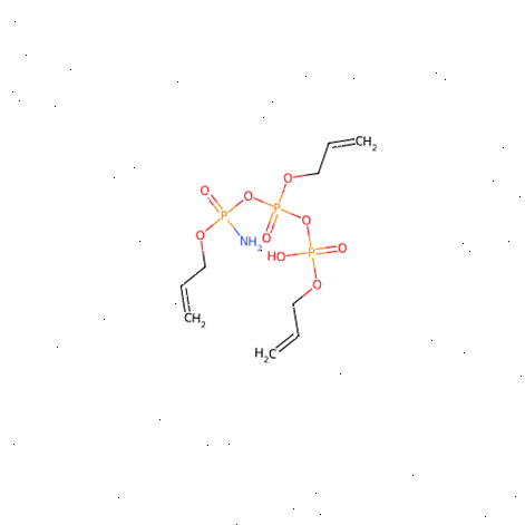 C=CCOP(N)(=O)OP(=O)(OCC=C)OP(=O)(O)OCC=C